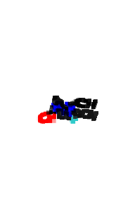 C#CCn1c(-c2cc3cccc4c3n2C(CC)CN4CCCO)nc2c(F)cc(C#N)cc21